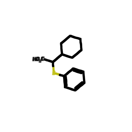 O=C(O)C(Sc1ccccc1)C1CCCCC1